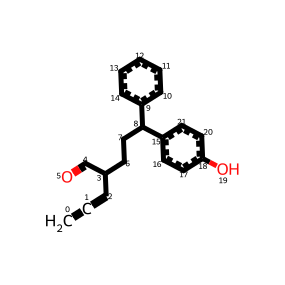 C=C=CC(C=O)CCC(c1ccccc1)c1ccc(O)cc1